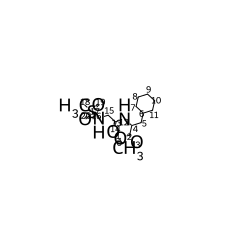 COC(=O)C(CC1CCCCC1)NC(=O)CNS(C)(=O)=O